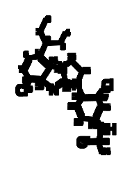 CCC(CC)c1ccc(Cl)c2nc3n(c12)CCN3c1ccc(NC(C)=O)cc1Cl